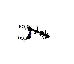 CN1/C(=C/C=C/C=C/C2=[N+](CCCCCC(=O)NCCCOc3cccc4c(C(=O)NCC(=O)N5CC(F)(F)C[C@H]5C#N)ccnc34)c3ccc(S(=O)(=O)O)cc3C2(C)C)C(C)(C)c2cc(S(=O)(=O)O)ccc21